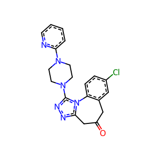 O=C1Cc2cc(Cl)ccc2-n2c(nnc2N2CCN(c3ccccn3)CC2)C1